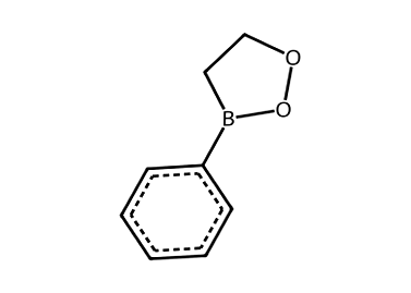 c1ccc(B2CCOO2)cc1